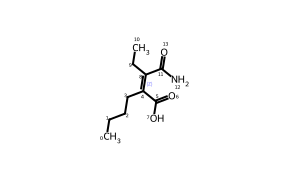 CCCC/C(C(=O)O)=C(\CC)C(N)=O